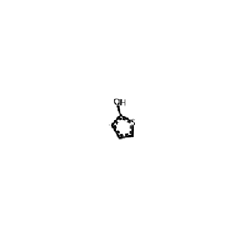 Oc1[c]ccs1